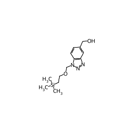 C[Si](C)(C)CCOCn1nnc2cc(CO)ccc21